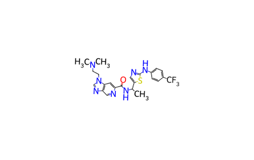 CC(NC(=O)c1cc2c(cn1)ncn2CCN(C)C)c1cnc(Nc2ccc(C(F)(F)F)cc2)s1